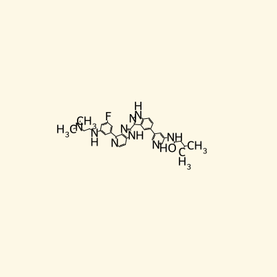 CC(C)CC(O)Nc1cncc(-c2ccc3[nH]nc(-c4nc5c(-c6cc(F)cc(NCCN(C)C)c6)nccc5[nH]4)c3c2)c1